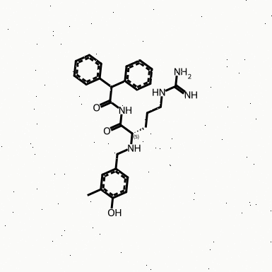 Cc1cc(CN[C@@H](CCCNC(=N)N)C(=O)NC(=O)C(c2ccccc2)c2ccccc2)ccc1O